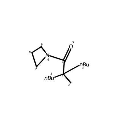 CCCCC(C)(CCCC)C(=O)N1CCC1